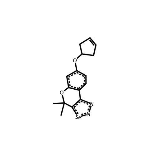 CC1(C)Oc2cc(OC3CC=CC3)ccc2-c2nn[se]c21